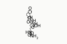 COc1ccc2c(c1)CCc1sc(NC(=O)C(CCCCNS(N)(=O)=O)NC(=O)O)nc1-2